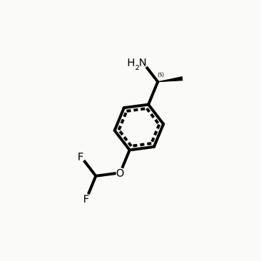 C[C@H](N)c1ccc(OC(F)F)cc1